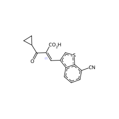 N#Cc1cccc2c(/C=C(\C(=O)O)C(=O)C3CC3)csc12